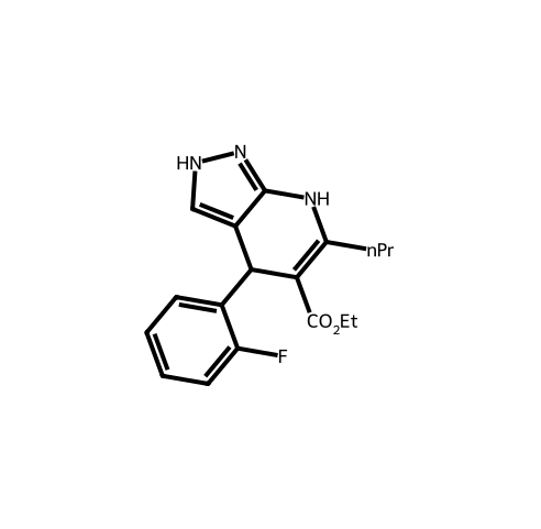 CCCC1=C(C(=O)OCC)C(c2ccccc2F)c2c[nH]nc2N1